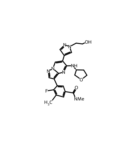 CNC(=O)c1cc(C)c(F)c(-c2cnn3cc(-c4cnn(CCO)c4)c(N[C@H]4CCOC4)nc23)c1